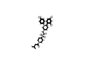 CC(C)CC(=O)N1CCC(S(=O)(=O)NC[C@@H]2CCC(c3ccc(Cl)cc3Cl)N(c3ccc(Cl)cc3)C2)CC1